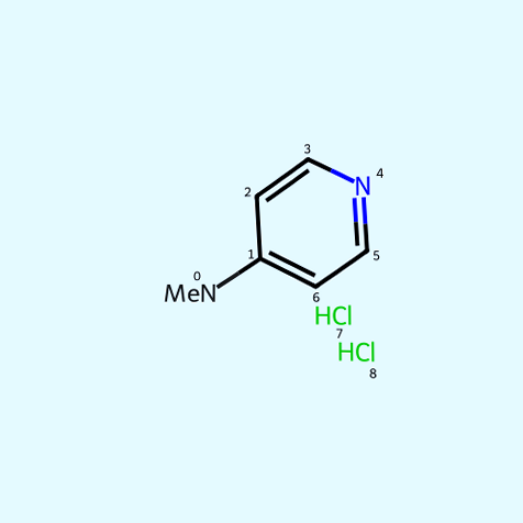 CNc1ccncc1.Cl.Cl